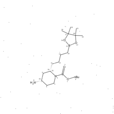 CCCCOC(=O)N1CC[C@H](N)C[C@@H]1CCCCB1OC(C)(C)C(C)(C)O1